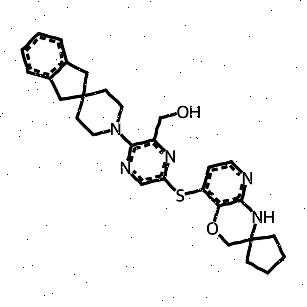 OCc1nc(Sc2ccnc3c2OCC2(CCCC2)N3)cnc1N1CCC2(CC1)Cc1ccccc1C2